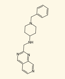 c1ccc(CN2CCC(NCc3ncc4ccncc4n3)CC2)cc1